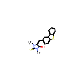 CCN1C(=O)/C(=C\c2ccc3sc4ccccc4c3c2)N(C)C1=S